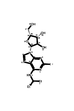 CCC(CC)Nc1nc(I)nc2c1ncn2[C@@H]1O[C@H](CO)[C@H](O)C1O